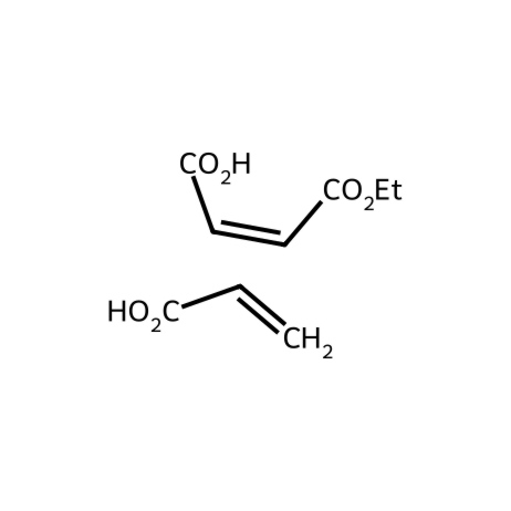 C=CC(=O)O.CCOC(=O)/C=C\C(=O)O